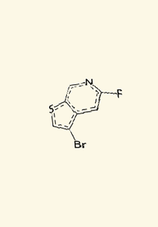 Fc1cc2c(Br)csc2cn1